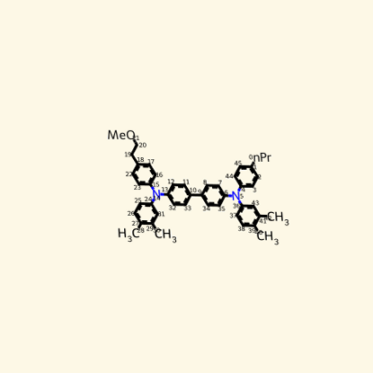 CCCc1ccc(N(c2ccc(-c3ccc(N(c4ccc(CCOC)cc4)c4ccc(C)c(C)c4)cc3)cc2)c2ccc(C)c(C)c2)cc1